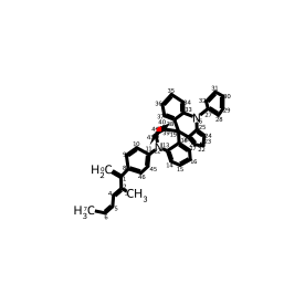 C=C(/C(C)=C/C=C\C)c1ccc(N2c3ccccc3C3(c4ccccc4N(c4ccccc4)c4ccccc43)c3ccccc32)cc1